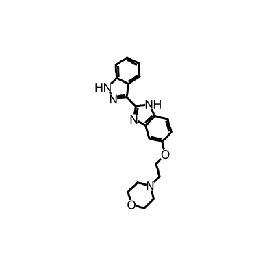 c1ccc2c(-c3nc4cc(OCCN5CCOCC5)ccc4[nH]3)n[nH]c2c1